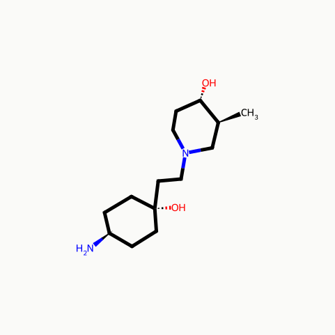 C[C@H]1CN(CC[C@]2(O)CC[C@H](N)CC2)CC[C@@H]1O